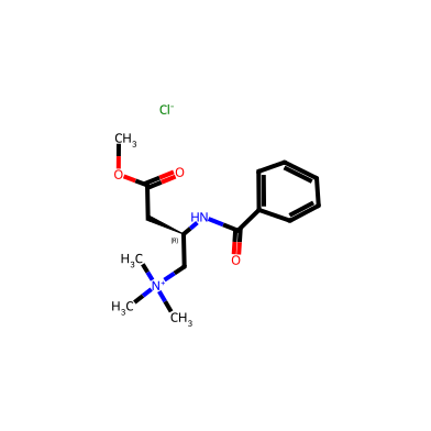 COC(=O)C[C@H](C[N+](C)(C)C)NC(=O)c1ccccc1.[Cl-]